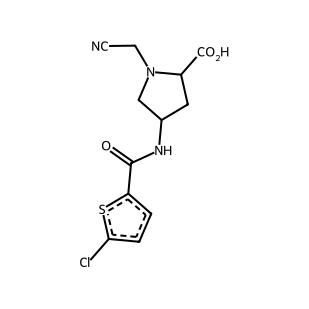 N#CCN1CC(NC(=O)c2ccc(Cl)s2)CC1C(=O)O